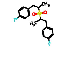 CC(Cc1ccc(F)cc1)S(=O)(=O)C(C)Cc1ccc(F)cc1